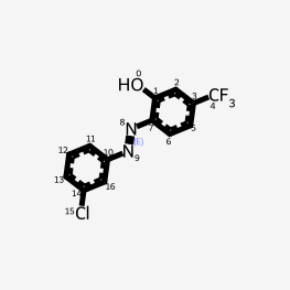 Oc1cc(C(F)(F)F)ccc1/N=N/c1cccc(Cl)c1